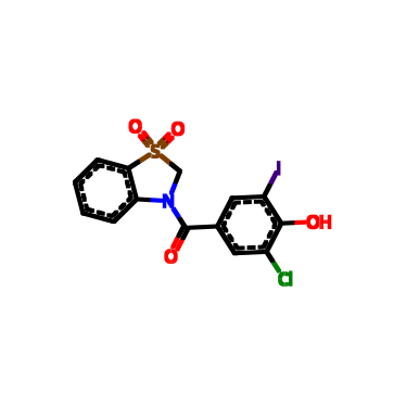 O=C(c1cc(Cl)c(O)c(I)c1)N1CS(=O)(=O)c2ccccc21